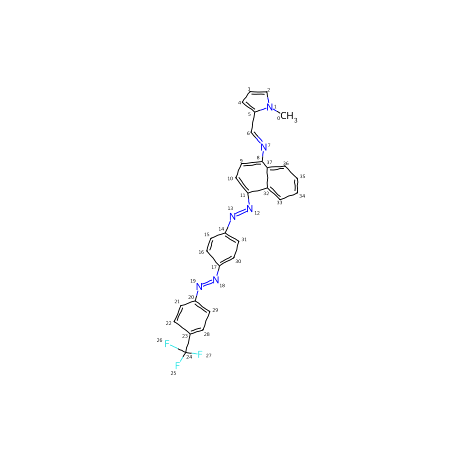 Cn1cccc1/C=N/c1ccc(/N=N/c2ccc(/N=N/c3ccc(C(F)(F)F)cc3)cc2)c2ccccc12